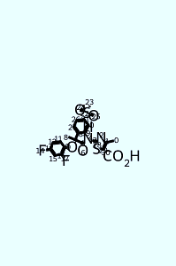 Cc1nc(NC(=O)C(C)(Oc2ccc(F)cc2F)c2ccc(S(C)(=O)=O)cc2)sc1C(=O)O